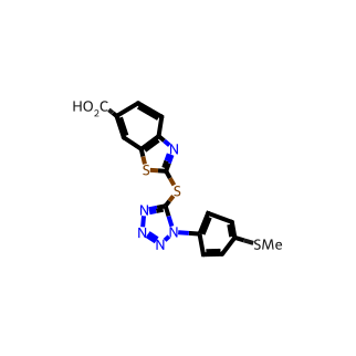 CSc1ccc(-n2nnnc2Sc2nc3ccc(C(=O)O)cc3s2)cc1